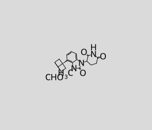 Cn1c(=O)n(C2CCC(=O)NC2=O)c2cccc([C@]34CC5C3[C@]5(C=O)C4)c21